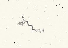 O=C(O)CCCC[PH](=S)S